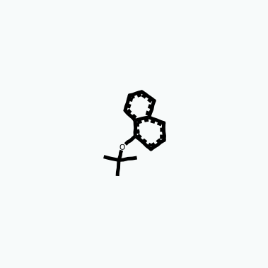 CC(C)(C)Oc1[c]ccc2ccccc12